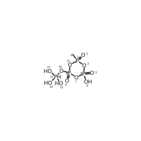 CP1(=O)OP(=O)(O)OP(=O)(O[PH](O)(O)O)O1